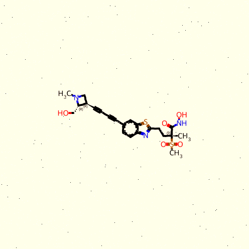 CN1C[C@@H](C#CC#Cc2ccc3nc(CC[C@](C)(C(=O)NO)S(C)(=O)=O)sc3c2)[C@@H]1CO